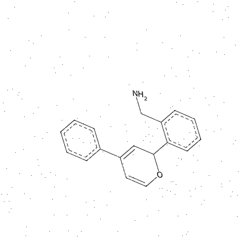 NCc1ccccc1C1C=C(c2ccccc2)C=CO1